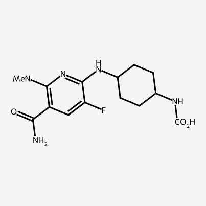 CNc1nc(NC2CCC(NC(=O)O)CC2)c(F)cc1C(N)=O